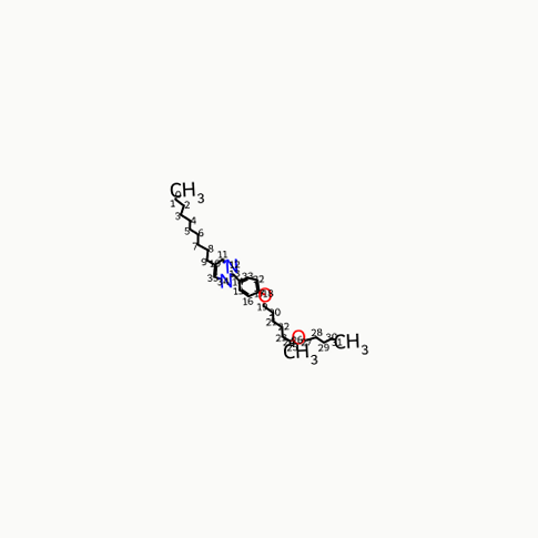 CCCCCCCCCCc1cnc(-c2ccc(OCCCCCC(C)OCCCCC)cc2)nc1